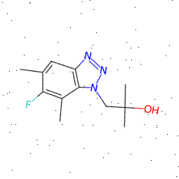 Cc1cc2nnn(CC(C)(C)O)c2c(C)c1F